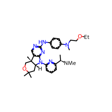 CCOCCN(C)c1ccc(Nc2ncc3c(n2)N(c2cccc([C@@H](C)NC)n2)[C@@H]2CC(C)(C)OC[C@]32C)cc1